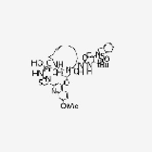 COc1ccc2c(O[C@@H]3C[C@H]4C(=O)N[C@]5(C(=O)O)CC5/C=C\CCCCC[C@H](NC(=O)N[C@H](C(=O)N5Cc6ccccc6S5(=O)=O)C(C)(C)C)C(=O)N4C3)cc(-c3csc(NC(C)C)n3)nc2c1